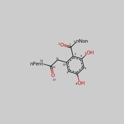 CCCCCCCCCC(=O)c1c(O)cc(O)cc1CC(=O)CCCCC